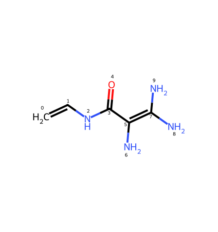 C=CNC(=O)C(N)=C(N)N